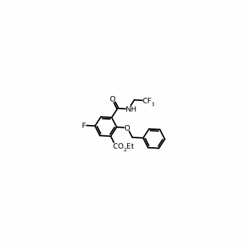 CCOC(=O)c1cc(F)cc(C(=O)NCC(F)(F)F)c1OCc1ccccc1